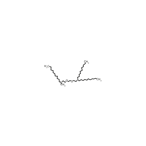 CCCCCCCCCCCN(C)CCOCCOCCN(CCCCCCCCCCC)CCCCCCCCCCC